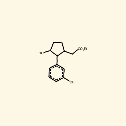 CCOC(=O)CC1CCC(O)C1c1cccc(O)c1